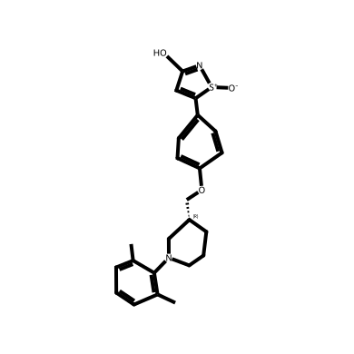 Cc1cccc(C)c1N1CCC[C@@H](COc2ccc(-c3cc(O)n[s+]3[O-])cc2)C1